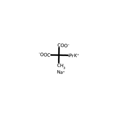 CC(C)C(C)(C(=O)[O-])C(=O)[O-].[K+].[Na+]